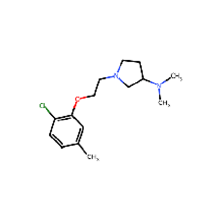 Cc1ccc(Cl)c(OCCN2CCC(N(C)C)C2)c1